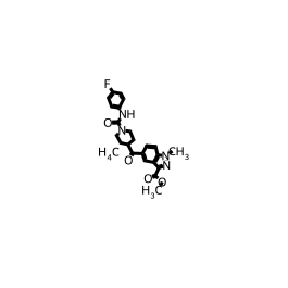 C.COC(=O)c1nn(C)c2ccc(C(=O)C3CCN(C(=O)Nc4ccc(F)cc4)CC3)cc12